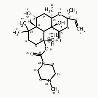 C=C[C@@]1(C)CC(=O)[C@]2(O)[C@]3(C)[C@@H]([C@H](O)C[C@@]2(C)O1)C(C)(C)CC[C@@]3(O)OC(=O)N1CCN(C)CC1